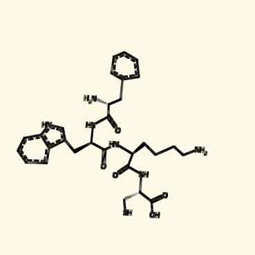 NCCCC[C@H](NC(=O)[C@@H](Cc1c[nH]c2ccccc12)NC(=O)[C@H](N)Cc1ccccc1)C(=O)N[C@@H](CS)C(=O)O